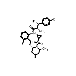 CC(C)[C@H](c1ccc(Cl)cc1)[C@H](N)C(=O)Nc1cccc(F)c1CC[C@H]1CNC[C@H](C)N1S(=O)(=O)C1CC1